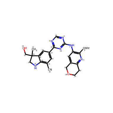 COc1nc2c(cc1Nc1ncnc(-c3cc(C#N)c4c(c3)C(C)(CO)CN4)n1)COCC2